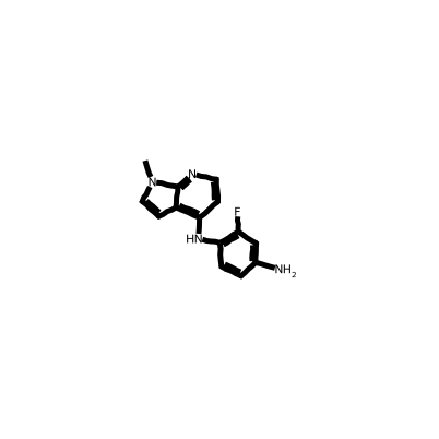 Cn1ccc2c(Nc3ccc(N)cc3F)ccnc21